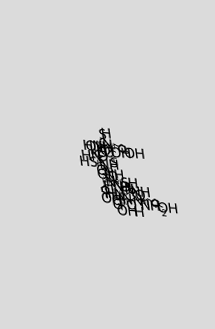 CSCC[C@H](NC(=O)[C@H](Cc1ccc(O)cc1)NC(=O)[C@H](CS)NC(=O)[C@H](Cc1c[nH]cn1)NC(=O)[C@H](CC(=O)O)NC(=O)CNC(=O)[C@@H](N)Cc1ccc(O)cc1)C(=O)N[C@@H](CS)C(=O)N[C@H](CO)C(=O)N[C@@H](CCSC)C(=O)N[C@@H](Cc1ccc(O)cc1)C(=O)O